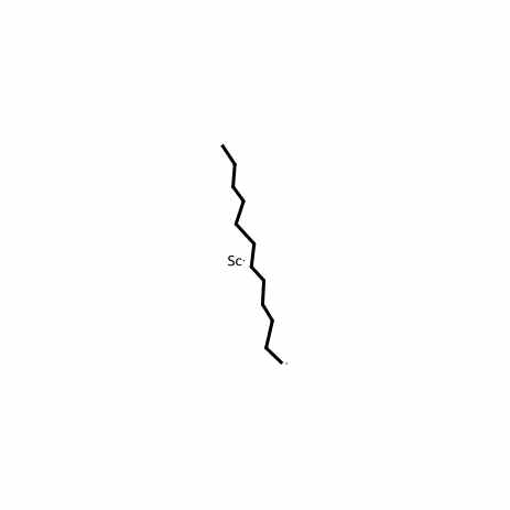 [CH2]CCCCCCCCCCC.[Sc]